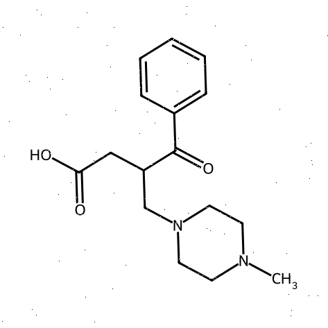 CN1CCN(CC(CC(=O)O)C(=O)c2ccccc2)CC1